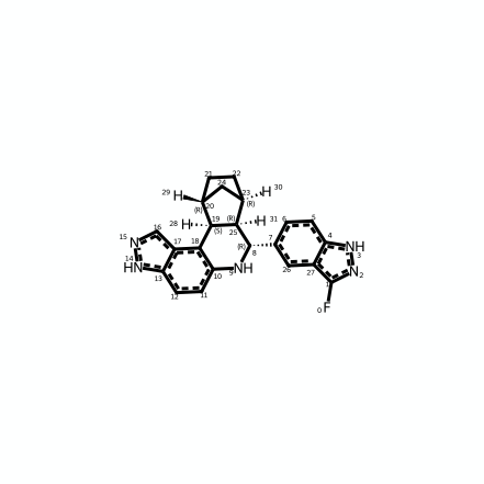 Fc1n[nH]c2ccc([C@@H]3Nc4ccc5[nH]ncc5c4[C@H]4[C@@H]5CC[C@H](C5)[C@H]43)cc12